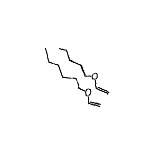 C=COCCCCC.C=COCCCCCC